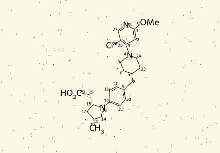 COc1cc(N2CCC(Cc3ccc(N4C[C@H](C)C[C@@H]4CC(=O)O)cc3)CC2)c(Cl)cn1